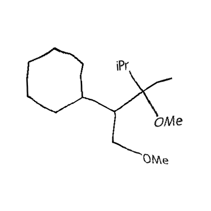 COCC(C1CCCCC1)C(C)(OC)C(C)C